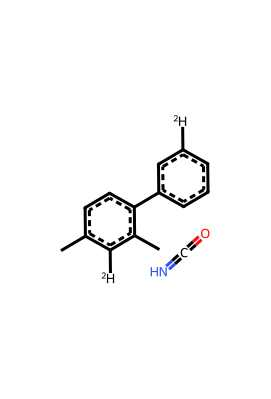 N=C=O.[2H]c1cccc(-c2ccc(C)c([2H])c2C)c1